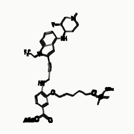 COC(=O)c1ccc(NCC#Cc2cc3c(N[C@@H]4CCN(C)C[C@@H]4F)cccc3n2CC(F)(F)F)c(OCCCCCO[Si](C)(C)C(C)(C)C)c1